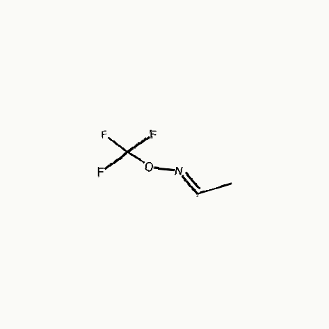 C[C]=NOC(F)(F)F